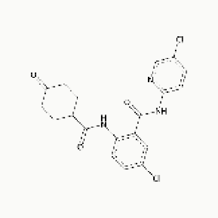 O=C1CCC(C(=O)Nc2ccc(Cl)cc2C(=O)Nc2ccc(Cl)cn2)CC1